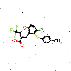 Cc1ccc(Sc2c(Cl)ccc3c2C=C(C(=O)O)C(C(F)(F)F)O3)cc1